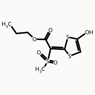 CCCOC(=O)C(=C1SC=C(O)S1)S(C)(=O)=O